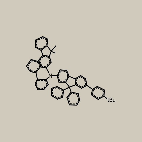 CC(C)(C)c1ccc(-c2ccc3c(c2)C(c2ccccc2)(c2ccccc2)c2cc(N(c4ccc5c(c4)C(C)(C)c4ccccc4-5)c4ccccc4-c4ccccc4)ccc2-3)cc1